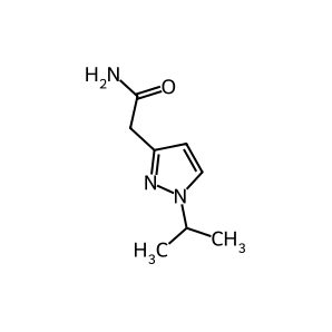 CC(C)n1ccc(CC(N)=O)n1